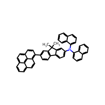 CC1(C)c2cc(-c3ccc4ccc5cccc6ccc3c4c56)ccc2-c2ccc(N(c3cccc4ccccc34)c3cccc4ccccc34)cc21